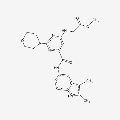 COC(=O)CNc1cc(C(=O)Nc2ccc3[nH]c(C)c(C)c3c2)nc(N2CCOCC2)n1